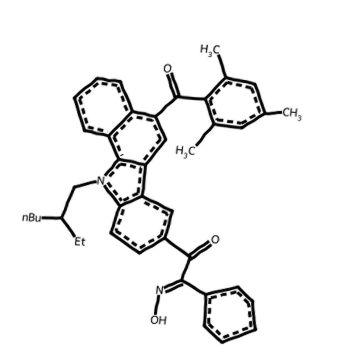 CCCCC(CC)Cn1c2ccc(C(=O)C(=NO)c3ccccc3)cc2c2cc(C(=O)c3c(C)cc(C)cc3C)c3ccccc3c21